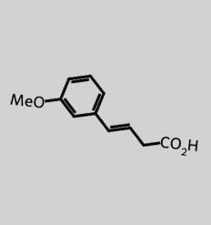 COc1cccc(/C=C/CC(=O)O)c1